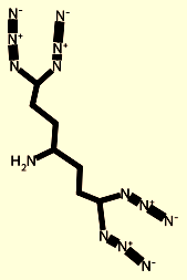 [N-]=[N+]=NC(CCC(N)CCC(N=[N+]=[N-])N=[N+]=[N-])N=[N+]=[N-]